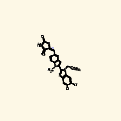 COCn1c(-c2cc3cc(/C=C4/SC(=O)NC4=O)ccc3n2C)nc2cc(Cl)c(Cl)cc21